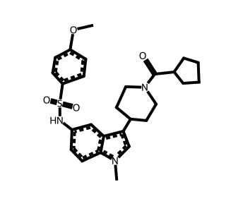 COc1ccc(S(=O)(=O)Nc2ccc3c(c2)c(C2CCN(C(=O)C4CCCC4)CC2)cn3C)cc1